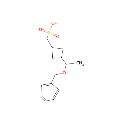 CC(OCc1ccccc1)C1CC(CS(=O)(=O)O)C1